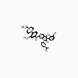 CCC(=O)N1CCC[C@H](n2c(=O)c(-c3cccc(Cl)c3)c(C)c3cnc(Nc4ccc(N5CCN(C)CC5)c(C)c4)nc32)C1